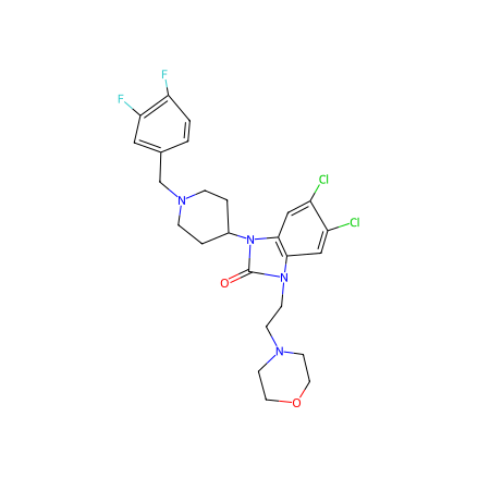 O=c1n(CCN2CCOCC2)c2cc(Cl)c(Cl)cc2n1C1CCN(Cc2ccc(F)c(F)c2)CC1